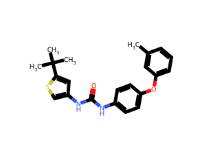 Cc1cccc(Oc2ccc(NC(=O)Nc3csc(C(C)(C)C)c3)cc2)c1